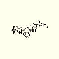 C=CC(=O)N1CCC(Nc2ncc(-c3ccc(C(F)(F)F)cn3)c3nccnc23)C1